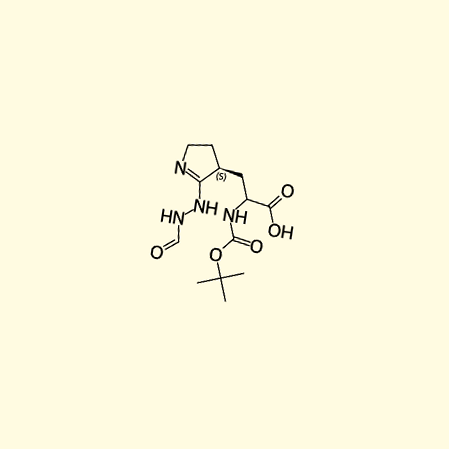 CC(C)(C)OC(=O)NC(C[C@@H]1CCN=C1NNC=O)C(=O)O